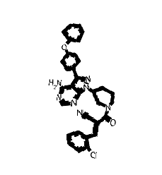 N#C/C(=C\c1ccccc1Cl)C(=O)N1CCCC(n2nc(-c3ccc(Oc4ccccc4)cc3)c3c(N)ncnc32)C1